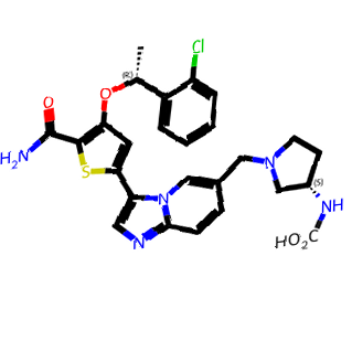 C[C@@H](Oc1cc(-c2cnc3ccc(CN4CC[C@H](NC(=O)O)C4)cn23)sc1C(N)=O)c1ccccc1Cl